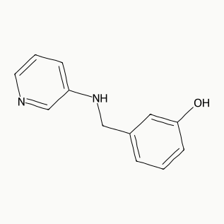 Oc1cccc(CNc2cccnc2)c1